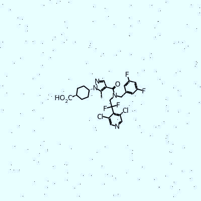 Cc1c(C(=O)N(Cc2cc(F)cc(F)c2)CC(F)(F)c2c(Cl)cncc2Cl)cnn1[C@H]1CC[C@H](C(=O)O)CC1